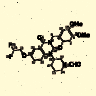 COc1ccc(Cn2c(=O)c3cc(OCC(F)F)ccc3n(C3CCCN(C=O)C3)c2=O)cc1OC